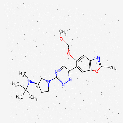 COCOc1cc2nc(C)oc2cc1-c1cnc(N2CC[C@@H](N(C)C(C)(C)C)C2)nn1